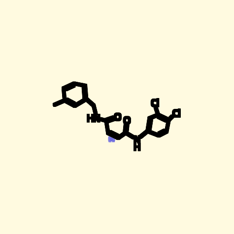 Cc1cccc(CNC(=O)/C=C\C(=O)Nc2ccc(Cl)c(Cl)c2)c1